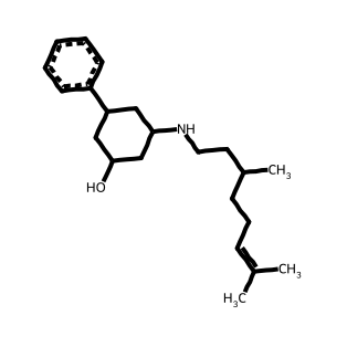 CC(C)=CCCC(C)CCNC1CC(O)CC(c2ccccc2)C1